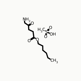 CCCCCCOC(=O)CCC(=O)CN.CS(=O)(=O)O